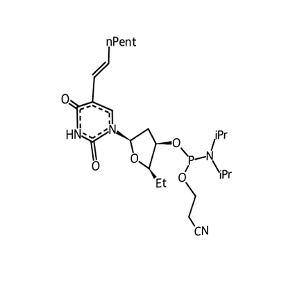 CCCCC/C=C/c1cn([C@H]2C[C@@H](OP(OCCC#N)N(C(C)C)C(C)C)[C@@H](CC)O2)c(=O)[nH]c1=O